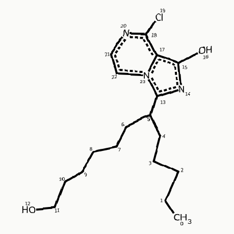 CCCCCC(CCCCCCO)c1nc(O)c2c(Cl)nccn12